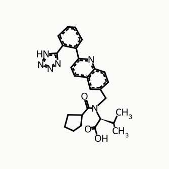 CC(C)[C@@H](C(=O)O)N(Cc1ccc2nc(-c3ccccc3-c3nnn[nH]3)ccc2c1)C(=O)C1CCCC1